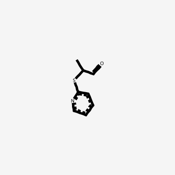 CC(C=O)Sc1ccccn1